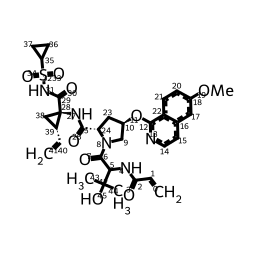 C=CC(=O)NC(C(=O)N1C[C@H](Oc2nccc3cc(OC)ccc23)C[C@H]1C(=O)N[C@]1(C(=O)NS(=O)(=O)C2CC2)C[C@H]1C=C)C(C)(C)O